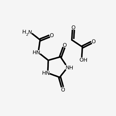 NC(=O)NC1NC(=O)NC1=O.O=CC(=O)O